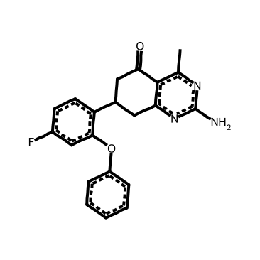 Cc1nc(N)nc2c1C(=O)CC(c1ccc(F)cc1Oc1ccccc1)C2